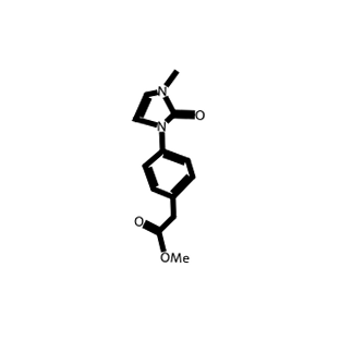 COC(=O)Cc1ccc(-n2ccn(C)c2=O)cc1